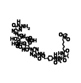 CC(C)[C@H](NC(=O)CCCCCN1C(=O)C=CC1=O)C(=O)N[C@@H](C)C(=O)Nc1ccc(COC(=O)Nc2ncnc3c2ncn3[C@@H]2O[C@@H]3COP(=O)(O)OC4C(O)[C@H](n5cnc6c(=O)[nH]c(N)nc65)O[C@@H]4COP(=O)(O)OC2C3O)cc1